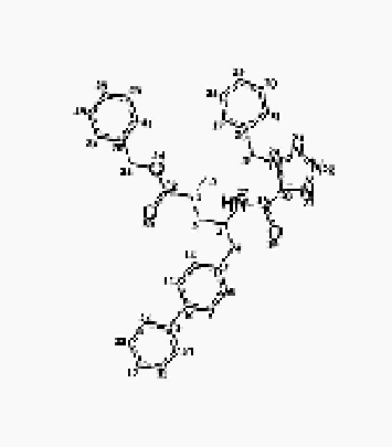 C[C@H](CC(Cc1ccc(-c2ccccc2)cc1)NC(=O)c1nnnn1Cc1ccccc1)C(=O)OCc1ccccc1